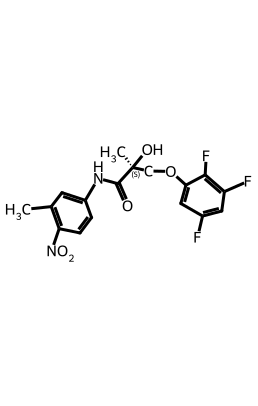 Cc1cc(NC(=O)[C@@](C)(O)COc2cc(F)cc(F)c2F)ccc1[N+](=O)[O-]